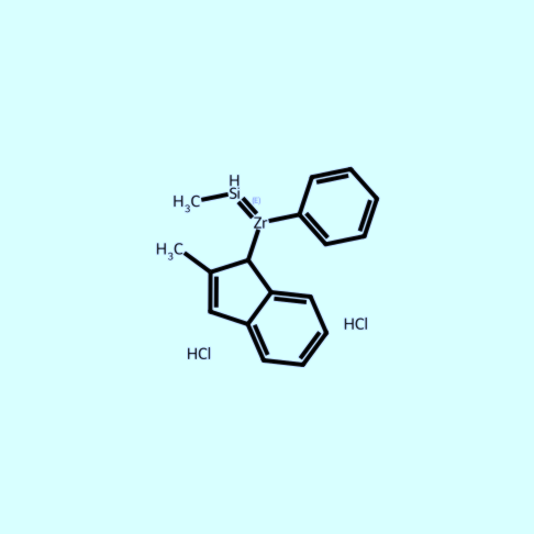 C/[SiH]=[Zr](/[c]1ccccc1)[CH]1C(C)=Cc2ccccc21.Cl.Cl